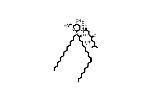 CCCCCCCC/C=C\CCCCCCCC(=O)N(CCCCCCCCCCCCCC)[C@@H]1O[C@H](CO)[C@@H](O)[C@H](O)[C@H]1NC(=O)[C@H](C)NC(=O)[C@@H](N)CC(C)C